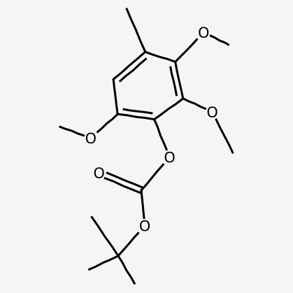 COc1cc(C)c(OC)c(OC)c1OC(=O)OC(C)(C)C